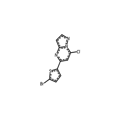 Clc1cc(-c2ccc(Br)s2)nc2ccnn12